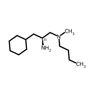 CCCCN(C)C[C@@H](N)CC1CCCCC1